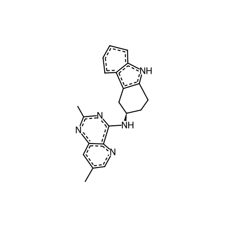 Cc1cnc2c(N[C@@H]3CCc4[nH]c5ccccc5c4C3)nc(C)nc2c1